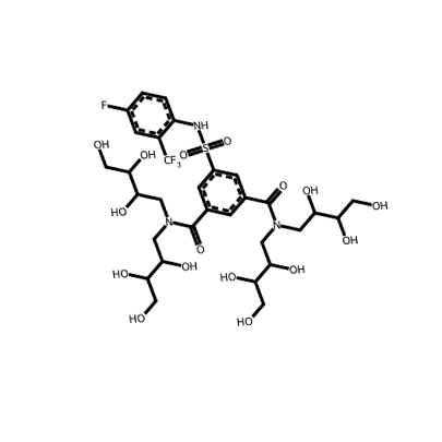 O=C(c1cc(C(=O)N(CC(O)C(O)CO)CC(O)C(O)CO)cc(S(=O)(=O)Nc2ccc(F)cc2C(F)(F)F)c1)N(CC(O)C(O)CO)CC(O)C(O)CO